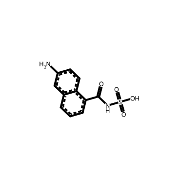 Nc1ccc2c(C(=O)NS(=O)(=O)O)cccc2c1